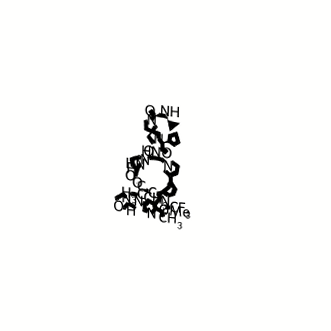 CO[C@@H](C)c1ncc(N2CCN3CCOC[C@@H]3C2)cc1-c1c2c3cc(ccc3n1CC(F)(F)F)C1=CCCN(C1)C[C@H](NC(=O)[C@H](C1CCCC1)N1CC[C@]3(CCN(C(=O)[C@@H]4N[C@@H]4C4CC4)C3)C1)C(=O)N1CCC[C@H](N1)C(=O)OCC(C)(C)C2